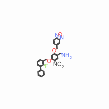 NCc1cc([N+](=O)[O-])c(OCc2cccc(-c3ccccc3)c2F)cc1OCc1ccc2nonc2c1